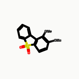 COc1ccc2c(c1OC)-c1ccccc1S2(=O)=O